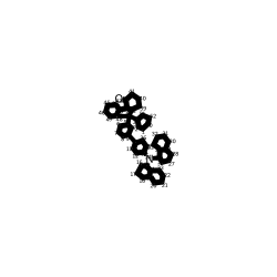 c1ccc(C2(c3cccc(-c4ccc(N(c5cccc6ccccc56)c5cccc6ccccc56)cc4)c3)c3cccc4oc5cccc2c5c34)cc1